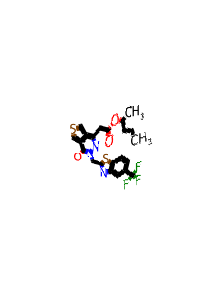 CCCC(C)OC(=O)Cc1nn(Cc2nc3cc(C(F)(F)F)ccc3s2)c(=O)c2cscc12